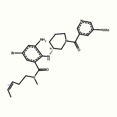 C/C=C\CCN(C)C(=O)c1cc(Br)cc(N)c1N[C@@H]1CCCN(C(=O)c2cncc(NC)c2)C1